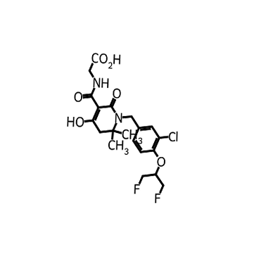 CC1(C)CC(O)=C(C(=O)NCC(=O)O)C(=O)N1Cc1ccc(OC(CF)CF)c(Cl)c1